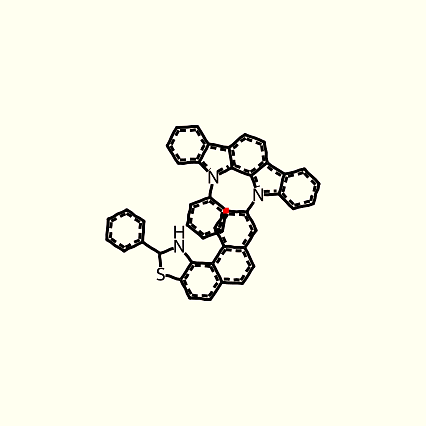 c1ccc(C2Nc3c(ccc4ccc5cc(-n6c7ccccc7c7ccc8c9ccccc9n(-c9ccccc9)c8c76)ccc5c34)S2)cc1